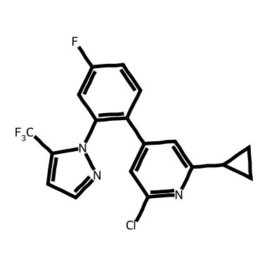 Fc1ccc(-c2cc(Cl)nc(C3CC3)c2)c(-n2nccc2C(F)(F)F)c1